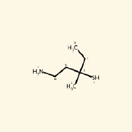 CCC(C)(S)CCN